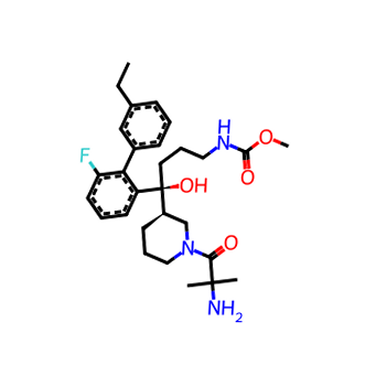 CCc1cccc(-c2c(F)cccc2[C@](O)(CCCNC(=O)OC)[C@@H]2CCCN(C(=O)C(C)(C)N)C2)c1